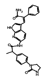 CC(C(=O)Nc1ccc2c(C=C(C(N)=O)c3ccccc3)c[nH]c2n1)c1ccc(N2CCNC2=O)cc1